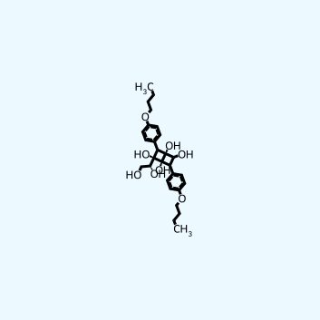 CCCCOc1ccc(C2C(O)[C@@]3(O)C(c4ccc(OCCCC)cc4)[C@@](O)([C@H](O)CO)[C@@]23O)cc1